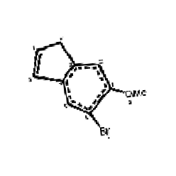 COc1cc2c(cc1Br)C=CC2